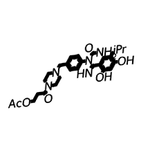 CC(=O)OCCC(=O)N1CCN(Cc2ccc(N(C(=N)c3cc(C(C)C)c(O)cc3O)C(N)=O)cc2)CC1